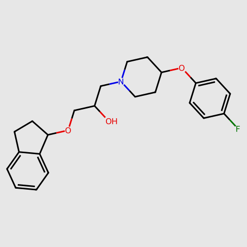 OC(COC1CCc2ccccc21)CN1CCC(Oc2ccc(F)cc2)CC1